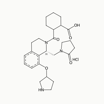 Cl.O=C(O)C1CCCCC1C(=O)N1CCc2cccc(OC3CCNC3)c2[C@H]1CN1CCCC1=O